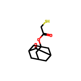 O=C(CS)OC12CC3CC(C1)C(=O)C(C3)C2